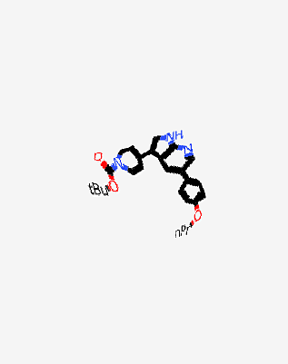 CCCOc1ccc(-c2cnc3[nH]cc(C4=CCN(C(=O)OC(C)(C)C)CC4)c3c2)cc1